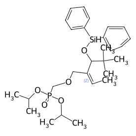 C/C=C(/COCP(=O)(OC(C)C)OC(C)C)C(O[SiH](c1ccccc1)c1ccccc1)C(C)(C)C